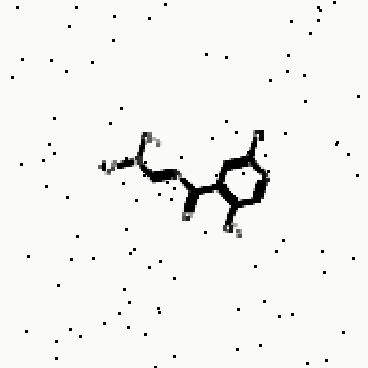 CN(C)C=NC(=O)c1cc(Cl)ncc1C(F)(F)F